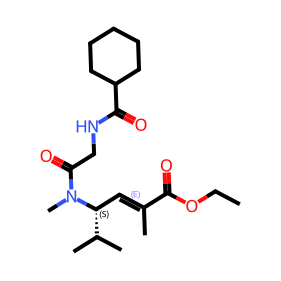 CCOC(=O)/C(C)=C/[C@H](C(C)C)N(C)C(=O)CNC(=O)C1CCCCC1